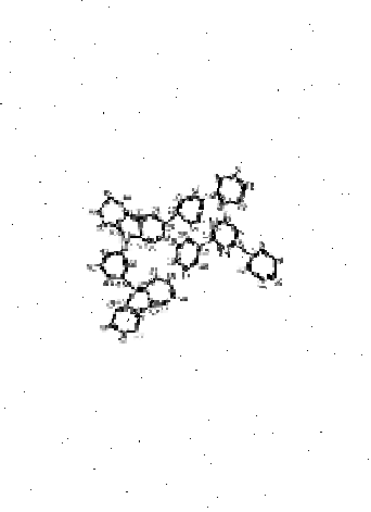 c1ccc(-c2cc(-c3ccccc3)nc(-c3ccccc3-c3ccccc3-c3ccc4c(c3)c3ccccc3n4-c3cccc(-n4c5ccccc5c5ccccc54)c3)n2)cc1